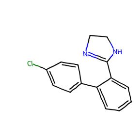 Clc1ccc(-c2ccccc2C2=NCCN2)cc1